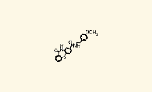 COc1ccc(CCNC(=O)c2ccc3c(c2)NC(=O)c2ccccc2S3)cc1